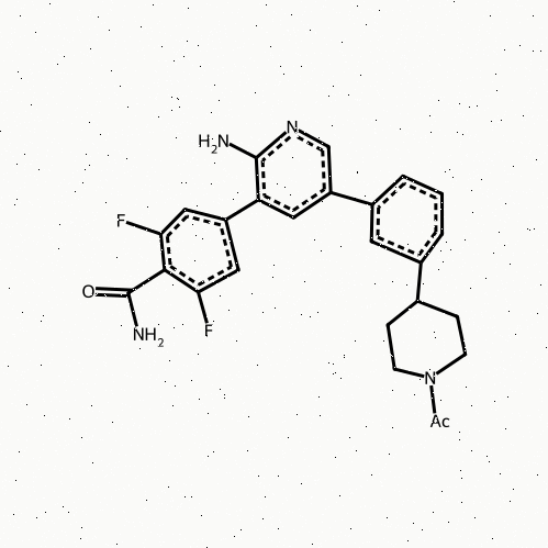 CC(=O)N1CCC(c2cccc(-c3cnc(N)c(-c4cc(F)c(C(N)=O)c(F)c4)c3)c2)CC1